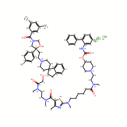 Cc1nc(N(C)CCCCCC(=O)N(C)CCN2CCC(OC(=O)Nc3ccccc3-c3ccccc3)CC2)sc1C(=O)N(C)CCN(C)C(=O)CO[C@H]1Cc2ccccc2C12CCN(CC[C@@]1(c3ccc(F)cc3)CN(C(=O)c3cc(C(F)(F)F)cc(C(F)(F)F)c3)CO1)CC2.Cl.Cl.Cl